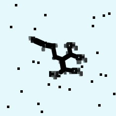 CC(C)=C(CN=C=S)C(C)C